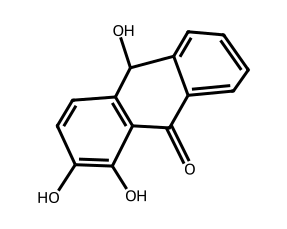 O=C1c2ccccc2C(O)c2ccc(O)c(O)c21